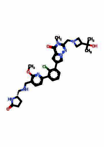 COc1nc(-c2cccc(-c3cc4c(=O)n(C)c(CN5CC(C(C)(C)O)C5)nn4c3)c2Cl)ccc1CNC[C@@H]1CCC(=O)N1